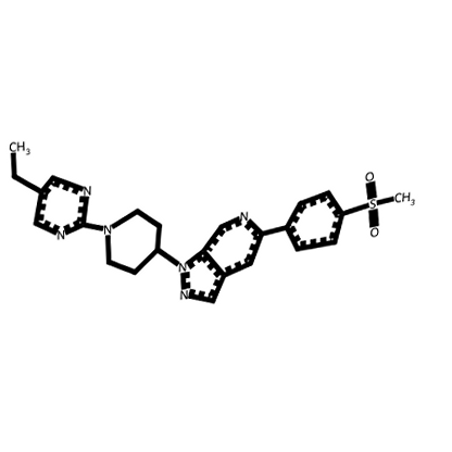 CCc1cnc(N2CCC(n3ncc4cc(-c5ccc(S(C)(=O)=O)cc5)ncc43)CC2)nc1